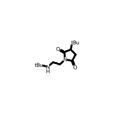 CC(C)(C)NCCN1C(=O)CC(C(C)(C)C)C1=O